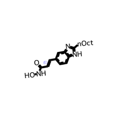 CCCCCCCCc1nc2cc(/C=C/C(=O)NO)ccc2[nH]1